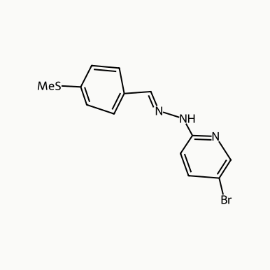 CSc1ccc(C=NNc2ccc(Br)cn2)cc1